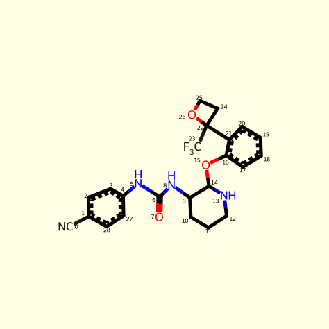 N#Cc1ccc(NC(=O)NC2CCCNC2Oc2ccccc2C2(C(F)(F)F)CCO2)cc1